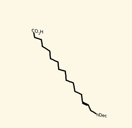 CCCCCCCCCCCC=CCCCCCCCCCCCCC(=O)O